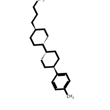 CCCC[C@H]1CC[C@H]([C@H]2CC[C@H](c3ccc(C)cc3)CC2)CC1